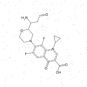 NC(CC=O)C1CN(c2c(F)cc3c(=O)c(C(=O)O)cn(C4CC4)c3c2F)CCO1